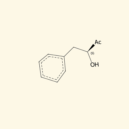 CC(=O)[C@@H](O)Cc1ccccc1